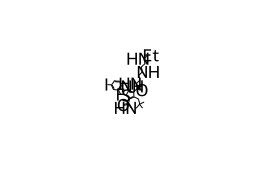 CCNCCNCCNC(=O)c1c(Nc2ccc(I)cc2F)sc2c1CC(C)(C)CNC2=O